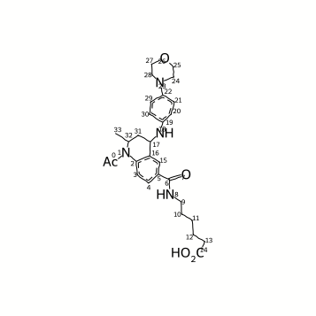 CC(=O)N1c2ccc(C(=O)NCCCCCC(=O)O)cc2C(Nc2ccc(N3CCOCC3)cc2)CC1C